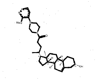 COc1nnccc1N1CCN(C(=O)CCC(C)[C@H]2CC[C@H]3[C@@H]4CC=C5C[C@@H](O)CC[C@]5(C)[C@H]4CC[C@]23C)CC1